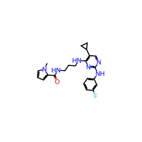 Cn1cccc1C(=O)NCCCNc1nc(Nc2cccc(F)c2)ncc1C1CC1